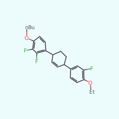 CCCCOc1ccc(C2C=CC(c3ccc(OCC)c(F)c3)CC2)c(F)c1F